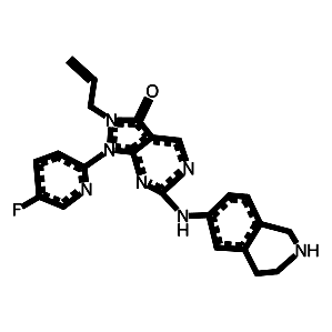 C=CCn1c(=O)c2cnc(Nc3ccc4c(c3)CCNC4)nc2n1-c1ccc(F)cn1